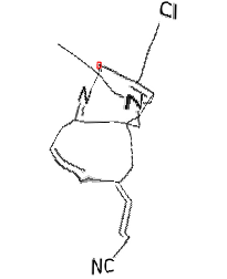 CN1CC2=C(Cl)C=CN=C3C=CC(=CC#N)CC32C1